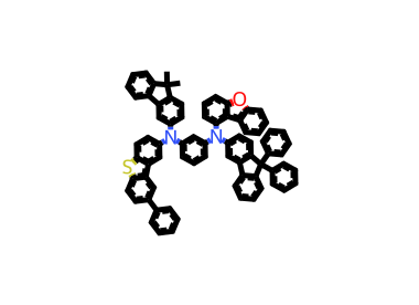 CC1(C)c2ccccc2-c2cc(N(c3cccc(N(c4ccc5c(c4)-c4ccccc4C5(c4ccccc4)c4ccccc4)c4cccc5oc6ccccc6c45)c3)c3ccc4sc5ccc(-c6ccccc6)cc5c4c3)ccc21